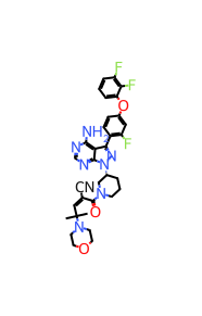 CC(C)(/C=C(/C#N)C(=O)N1CCC[C@@H](n2nc(-c3ccc(Oc4cccc(F)c4F)cc3F)c3c(N)ncnc32)C1)N1CCOCC1